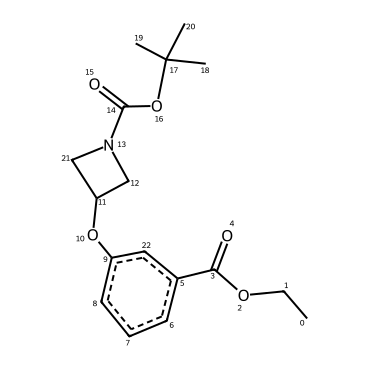 CCOC(=O)c1cccc(OC2CN(C(=O)OC(C)(C)C)C2)c1